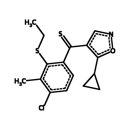 CCSc1c(C(=S)c2cnoc2C2CC2)ccc(Cl)c1C